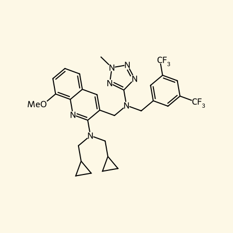 COc1cccc2cc(CN(Cc3cc(C(F)(F)F)cc(C(F)(F)F)c3)c3nnn(C)n3)c(N(CC3CC3)CC3CC3)nc12